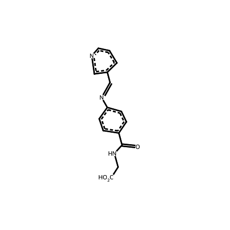 O=C(O)CNC(=O)c1ccc(N=Cc2cccnc2)cc1